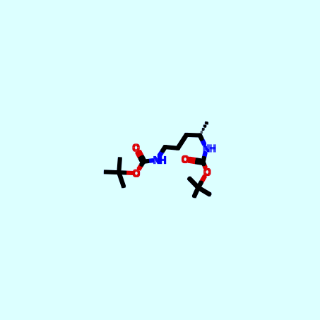 C[C@@H](CCCNC(=O)OC(C)(C)C)NC(=O)OC(C)(C)C